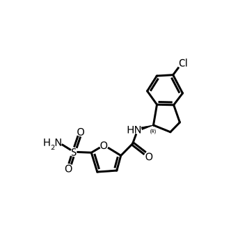 NS(=O)(=O)c1ccc(C(=O)N[C@@H]2CCc3cc(Cl)ccc32)o1